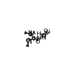 CC[S+]([O-])c1cnc(CNC(=O)N2CC(c3cccc(C4CC4)n3)C(c3cc(C4CC4)nn3C(C)C)C2)nc1